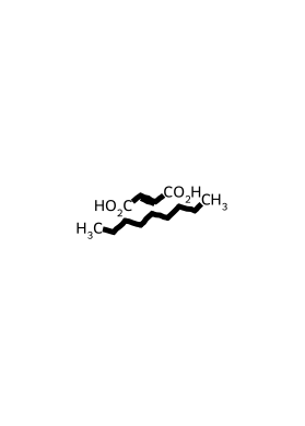 CCCCCCCCC.O=C(O)C=CC(=O)O